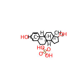 C[C@]12C=CC(O)CC1CC[C@@H]1[C@H]2CC[C@]2(C)C(O)CC[C@@H]12.O=S(=O)(O)O